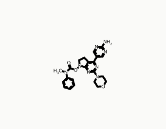 CN(C(=O)ON1CCc2c(-c3cnc(N)nc3)nc(N3CCOCC3)nc21)c1ccccc1